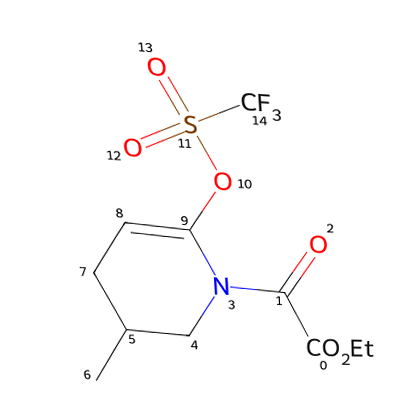 CCOC(=O)C(=O)N1CC(C)CC=C1OS(=O)(=O)C(F)(F)F